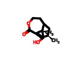 C[C@@H]1C=C2C(=O)OCCC(C1)[C@@]2(C)CO